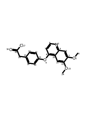 COc1cc2nccc(Oc3ccc(CC(=O)Cl)cc3)c2cc1OC